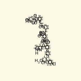 CC1(C)CCC(CN2CCN(c3ccc(C(=O)NS(=O)(=O)c4ccc(NCC5CCCN(C(=O)CSc6cccc7c6C(=O)N(C6CCC(=O)NC6=O)C7=O)C5)c([N+](=O)[O-])c4)c(Oc4cnc5[nH]ccc5c4)c3)CC2)=C(c2ccc(Cl)cc2)C1